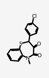 CN1C(=O)C(=O)C(c2ccc(Cl)cc2)Sc2ccccc21